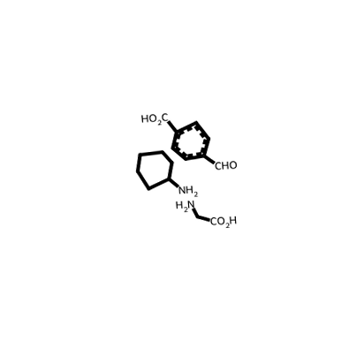 NC1CCCCC1.NCC(=O)O.O=Cc1ccc(C(=O)O)cc1